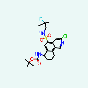 CC(C)(F)CNS(=O)(=O)c1cc2c(c3cnc(Cl)cc13)CCCC2NC(=O)OC(C)(C)C